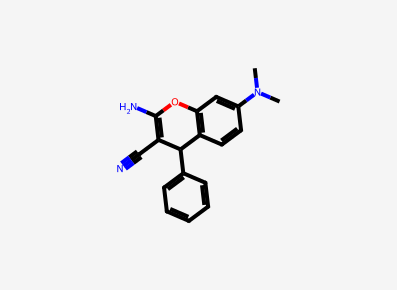 CN(C)c1ccc2c(c1)OC(N)=C(C#N)C2c1ccccc1